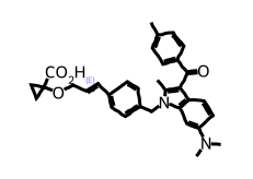 Cc1ccc(C(=O)c2c(C)n(Cc3ccc(/C=C/COC4(C(=O)O)CC4)cc3)c3cc(N(C)C)ccc23)cc1